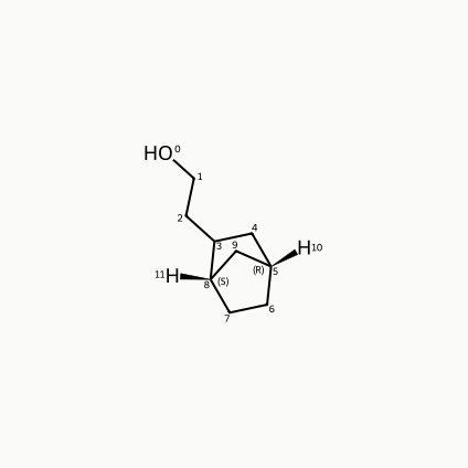 OCCC1C[C@@H]2CC[C@H]1C2